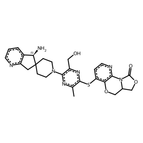 Cc1nc(N2CCC3(CC2)Cc2ncccc2[C@H]3N)c(CO)nc1Sc1ccnc2c1OCC1COC(=O)N21